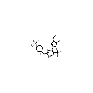 COc1cc(-c2nc(NC3CCN(S(C)(=O)=O)CC3)ncc2C(F)(F)F)sc1C